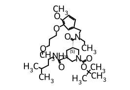 CCN(Cc1ccc(OC)c(OCCCOC)c1)C(=O)[C@H]1C[C@H](C(=O)NCCC(C)C)CN(C(=O)OC(C)(C)C)C1